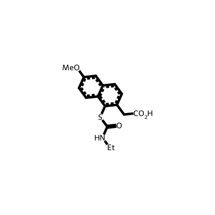 CCNC(=O)Sc1c(CC(=O)O)ccc2cc(OC)ccc12